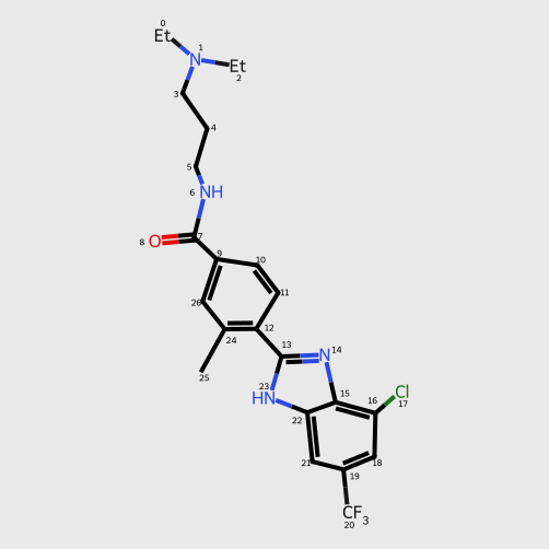 CCN(CC)CCCNC(=O)c1ccc(-c2nc3c(Cl)cc(C(F)(F)F)cc3[nH]2)c(C)c1